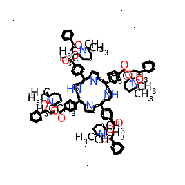 CC1(C)CCCC(C)(C)N1OC(COC(=O)c1ccc(-c2c3nc(c(-c4ccc(C(=O)OCC(ON5C(C)(C)CCCC5(C)C)c5ccccc5)cc4)c4ccc([nH]4)c(-c4ccc(C(=O)OCC(ON5C(C)(C)CCCC5(C)C)c5ccccc5)cc4)c4nc(c(-c5ccc(C(=O)OCC(ON6C(C)(C)CCCC6(C)C)c6ccccc6)cc5)c5ccc2[nH]5)C=C4)C=C3)cc1)c1ccccc1